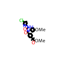 COC(=O)C(C)(C)c1ccc(C(=O)N(C(=O)Nc2ccc(Cl)cn2)c2ccc(OC)cc2)cc1